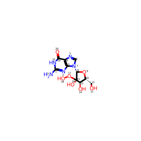 Nc1nc2c(ncn2[C@@H]2O[C@H](CO)[C@@H](O)[C@]2(O)OO)c(=O)[nH]1